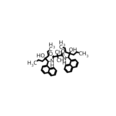 CCCC(O)(CCC)[C@H](NC(=O)C(C)(C)C(=O)N[C@H](c1cccc2ccccc12)C(O)(CCC)CCC)c1cccc2ccccc12